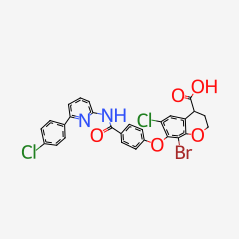 O=C(Nc1cccc(-c2ccc(Cl)cc2)n1)c1ccc(Oc2c(Cl)cc3c(c2Br)OCCC3C(=O)O)cc1